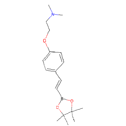 CN(C)CCOc1ccc(/C=C/B2OC(C)(C)C(C)(C)O2)cc1